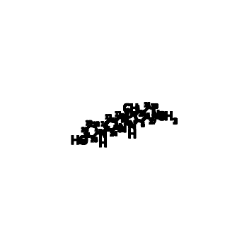 COc1cc2c(cc1Nc1ncc3ccc(NC4CCCC(O)C4)cc3n1)CN(C)CC2